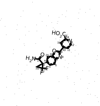 NC(=O)[C@@]1(c2ccc3nc(-c4ccnc(C(=O)O)c4)oc3c2)CC1(F)F